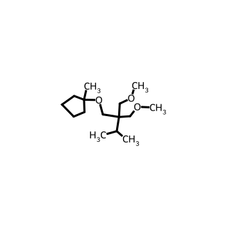 COCC(COC)(COC1(C)CCCC1)C(C)C